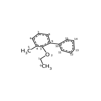 CCOc1c(C)cccc1-c1ccccc1